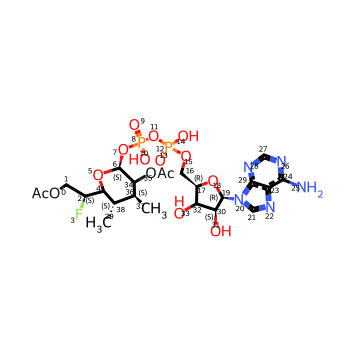 CC(=O)OC[C@H](F)C1O[C@@H](OP(=O)(O)OP(=O)(O)OC[C@H]2O[C@@H](n3cnc4c(N)ncnc43)[C@@H](O)C2O)C(OC(C)=O)[C@@H](C)[C@@H]1C